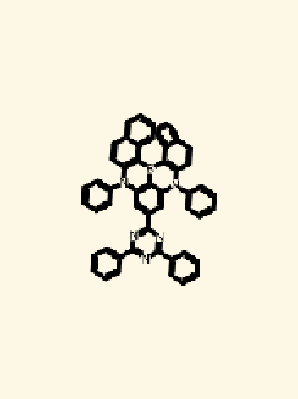 c1ccc(-c2nc(-c3ccccc3)nc(-c3cc4c5c(c3)N(c3ccccc3)c3ccc6ccccc6c3B5c3c(ccc5ccccc35)N4c3ccccc3)n2)cc1